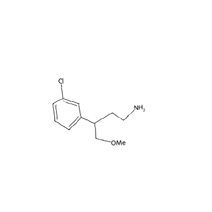 COCC(CCN)c1cccc(Cl)c1